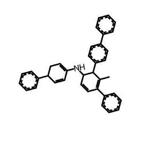 CC1=C(c2ccccc2)C=CC(NC2=CCC(c3ccccc3)C=C2)C1c1ccc(-c2ccccc2)cc1